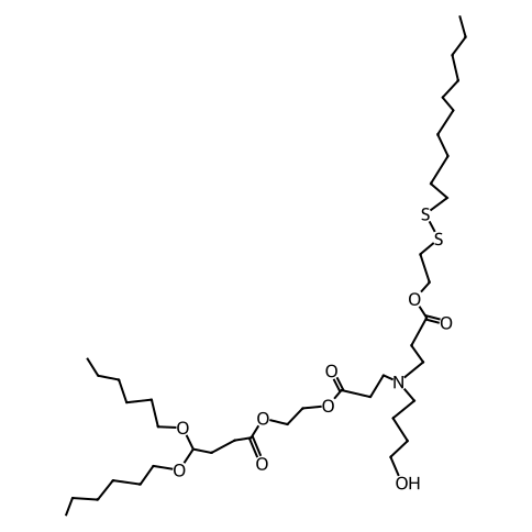 CCCCCCCCCCSSCCOC(=O)CCN(CCCCO)CCC(=O)OCCOC(=O)CCC(OCCCCCC)OCCCCCC